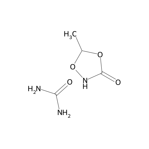 CC1ONC(=O)O1.NC(N)=O